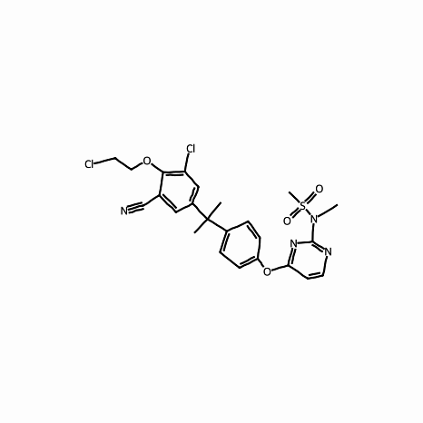 CN(c1nccc(Oc2ccc(C(C)(C)c3cc(Cl)c(OCCCl)c(C#N)c3)cc2)n1)S(C)(=O)=O